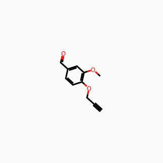 C#CCOc1ccc(C=O)cc1OC